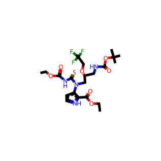 CCOC(=O)NC(=S)N(CC(CNC(=O)OC(C)(C)C)OCC(F)(F)F)c1cc[nH]c1C(=O)OCC